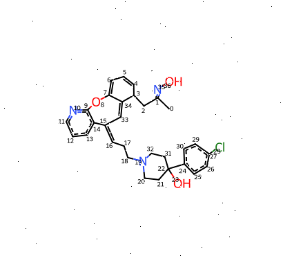 CC(CC1C=CC=C2Oc3ncccc3C(=CCCN3CCC(O)(c4ccc(Cl)cc4)CC3)C=C21)=NO